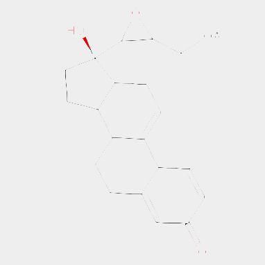 CC(=O)OCC1OC1[C@@]1(O)[C@@H](C)CC2C3CCC4=CC(=O)C=C[C@]4(C)C3=CC[C@@]21C